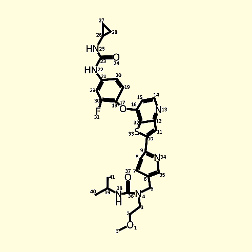 COCCN(Cc1ccc(-c2cc3nccc(Oc4ccc(NC(=O)NC5CC5)cc4F)c3s2)nc1)C(=O)NC(C)C